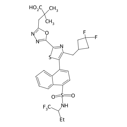 CCC(NS(=O)(=O)c1ccc(-c2sc(-c3nnc(CC(C)(C)C(=O)O)o3)nc2CC2CC(F)(F)C2)c2ccccc12)C(F)(F)F